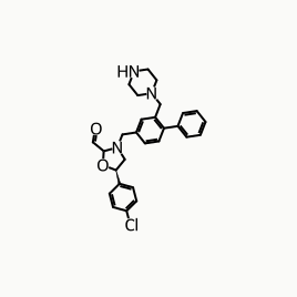 O=CC1O[C@H](c2ccc(Cl)cc2)CN1Cc1ccc(-c2ccccc2)c(CN2CCNCC2)c1